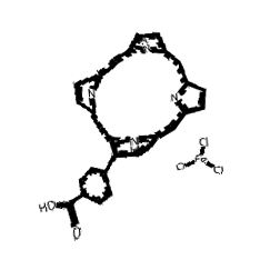 O=C(O)c1ccc(-c2cc3cc4nc(cc5ccc(cc6nc(cc2[nH]3)C=C6)[nH]5)C=C4)cc1.[Cl][Fe]([Cl])[Cl]